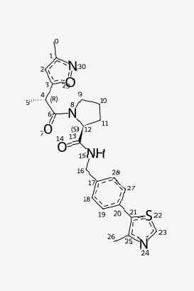 Cc1cc([C@@H](C)C(=O)N2CCC[C@H]2C(=O)NCc2ccc(-c3scnc3C)cc2)on1